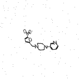 O=[N+]([O-])c1ccc(CN2CCN(c3cccnc3)CC2)o1